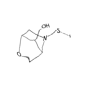 OC1C2CN(SI)C1CO2